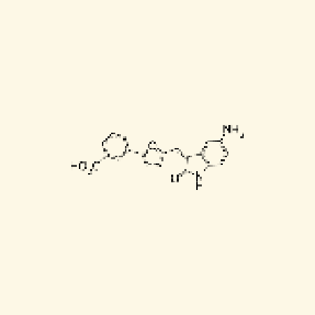 Nc1ccc2c(c1)C(=Cc1ccc(-c3cccc(C(=O)O)c3)o1)C(=O)N2